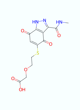 CNC(=O)c1n[nH]c2c1C(=O)C(SCCOCC(=O)O)=CC2=O